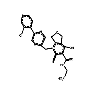 O=C(O)CNC(=O)c1c(O)c2c(n(Cc3cnc(-c4ccccc4Cl)cn3)c1=O)COC2